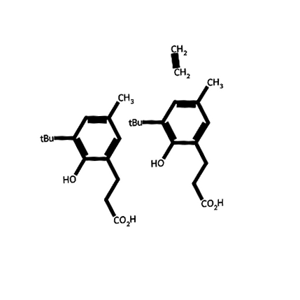 C=C.Cc1cc(CCC(=O)O)c(O)c(C(C)(C)C)c1.Cc1cc(CCC(=O)O)c(O)c(C(C)(C)C)c1